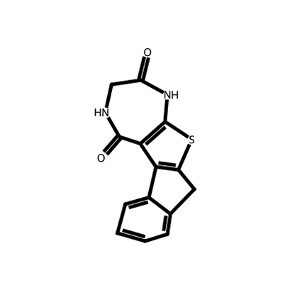 O=C1CNC(=O)c2c(sc3c2-c2ccccc2C3)N1